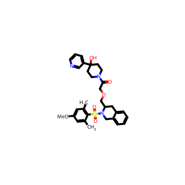 COc1cc(C)c(S(=O)(=O)N2Cc3ccccc3CC2COCC(=O)N2CCC(O)(c3cccnc3)CC2)c(C)c1